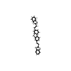 C(=C\c1nc2ccccc2o1)/c1ccc2c(c1)Cc1cc(/C=C/c3nc4ccccc4o3)ccc1-2